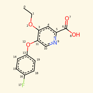 CCOc1cc(C(=O)O)ncc1Oc1ccc(F)cc1